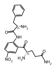 NC(=O)CC[C@H](N)C(=O)c1cc([N+](=O)[O-])ccc1NC(=O)[C@@H](N)Cc1ccccc1